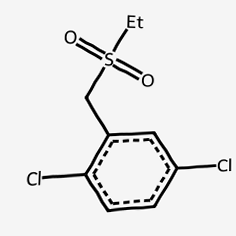 CCS(=O)(=O)Cc1cc(Cl)ccc1Cl